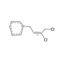 ClC/C(Cl)=C\Cc1ccccc1